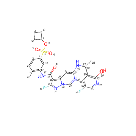 Cc1ccc(S(=O)(=O)OC2CCC2)cc1NC(=O)c1c(F)nn2cnc(N[C@H](C)c3cc(F)cnc3O)cc12